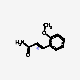 COc1ccccc1/C=C/C(N)=O